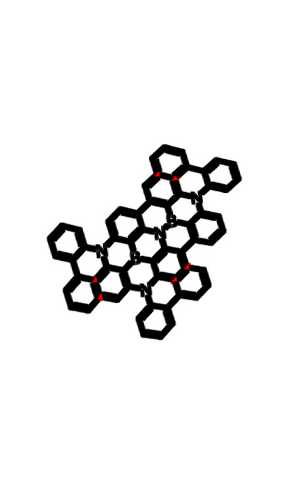 c1ccc(-c2ccccc2N2c3cccc4c3B3c5c(cccc52)-c2ccc5c6c2N3c2c-4ccc3c2B6c2c(cccc2N5c2ccccc2-c2ccccc2)N3c2ccccc2-c2ccccc2)cc1